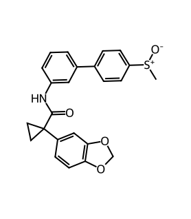 C[S+]([O-])c1ccc(-c2cccc(NC(=O)C3(c4ccc5c(c4)OCO5)CC3)c2)cc1